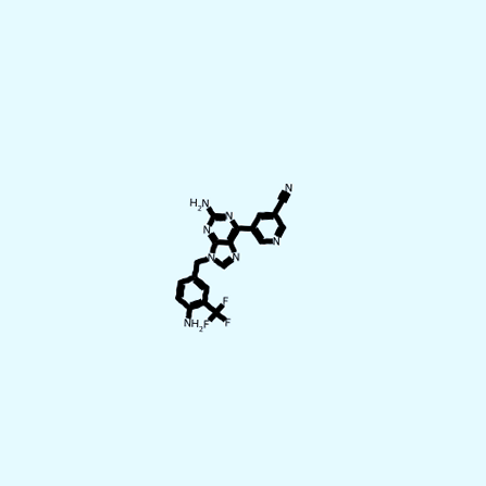 N#Cc1cncc(-c2nc(N)nc3c2ncn3Cc2ccc(N)c(C(F)(F)F)c2)c1